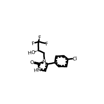 O=c1[nH]cc(-c2ccc(Cl)cc2)n1C[C@H](O)C(F)(F)F